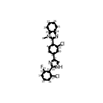 Cn1c(-c2ccc(-c3c[nH]c(-c4c(F)cccc4Cl)n3)cc2Cl)nc2ccccc21